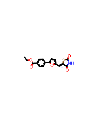 CCOC(=O)c1ccc(-c2ccc(/C=C3\SC(=O)NC3=O)o2)cc1